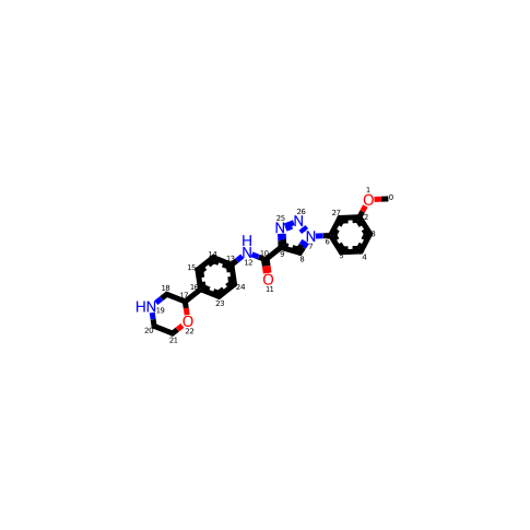 COc1cccc(-n2cc(C(=O)Nc3ccc(C4CNCCO4)cc3)nn2)c1